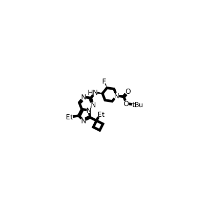 CCc1nc(C2(CC)CCC2)n2nc(N[C@@H]3CCN(C(=O)OC(C)(C)C)C[C@H]3F)ncc12